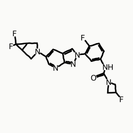 O=C(Nc1ccc(F)c(-n2cc3cc(N4CC5C(C4)C5(F)F)cnc3n2)c1)N1CC(F)C1